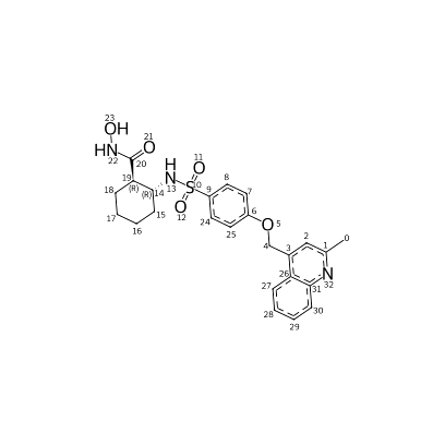 Cc1cc(COc2ccc(S(=O)(=O)N[C@@H]3CCCC[C@H]3C(=O)NO)cc2)c2ccccc2n1